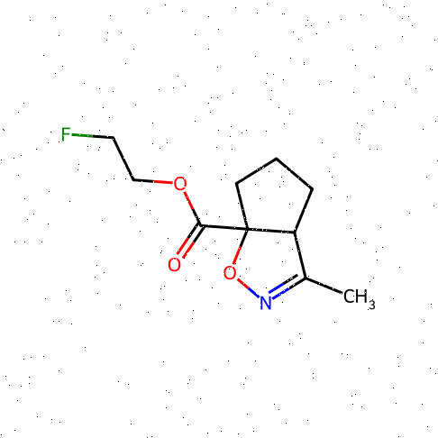 CC1=NOC2(C(=O)OCCF)CCCC12